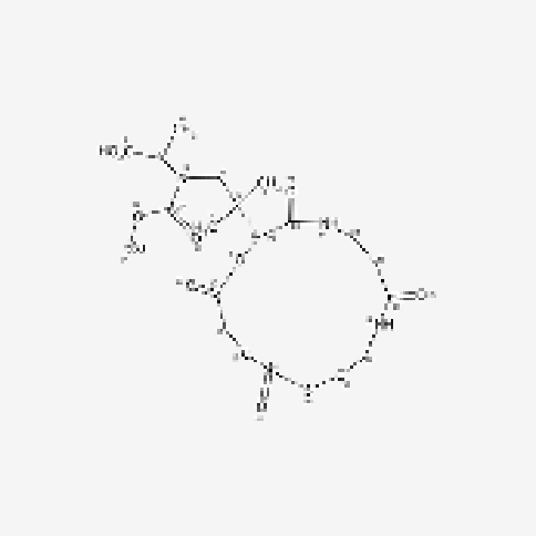 CC(C(=O)O)N(CC(C)(C)[C@H]1OC(=O)CCC(=O)SCCNC(=O)CCNC1=O)C(=O)OC(C)(C)C